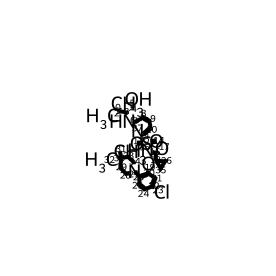 CC(C)[C@H](CO)Nc1cccc(S(=O)(=O)NC(=O)C2(Oc3cc(Cl)ccc3N3CCC(C)(C)CC3)CC2)n1